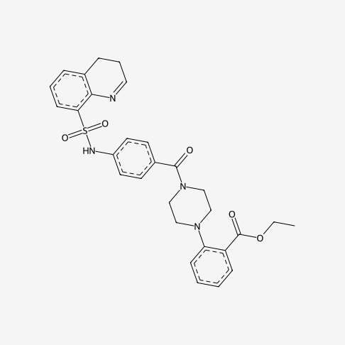 CCOC(=O)c1ccccc1N1CCN(C(=O)c2ccc(NS(=O)(=O)c3cccc4c3N=CCC4)cc2)CC1